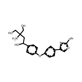 CCCc1nc(-c2ccc(Oc3ccc(C(O)CC(N)(CO)CO)cc3)cc2)co1